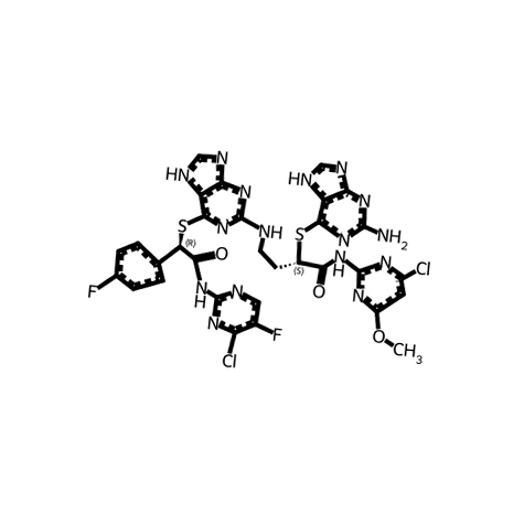 COc1cc(Cl)nc(NC(=O)[C@H](CCNc2nc(S[C@@H](C(=O)Nc3ncc(F)c(Cl)n3)c3ccc(F)cc3)c3[nH]cnc3n2)Sc2nc(N)nc3nc[nH]c23)n1